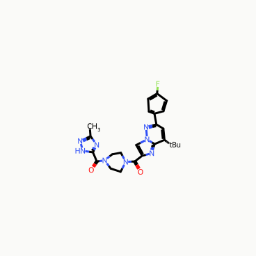 Cc1n[nH]c(C(=O)N2CCN(C(=O)c3cn4nc(-c5ccc(F)cc5)cc(C(C)(C)C)c4n3)CC2)n1